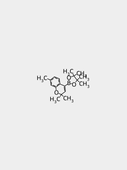 Cc1ccc2c(c1)OC(C)(C)C=C2B1OC(C)(C)C(C)(C)O1